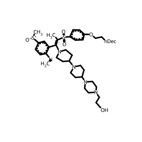 C=Nc1ccc([S+](C)[O-])cc1/C(=C(\C)S(=O)(=O)c1ccc(OCCCCCCCCCCCC)cc1)N1CCC(N2CCC(N3CCN(CCO)CC3)CC2)CC1